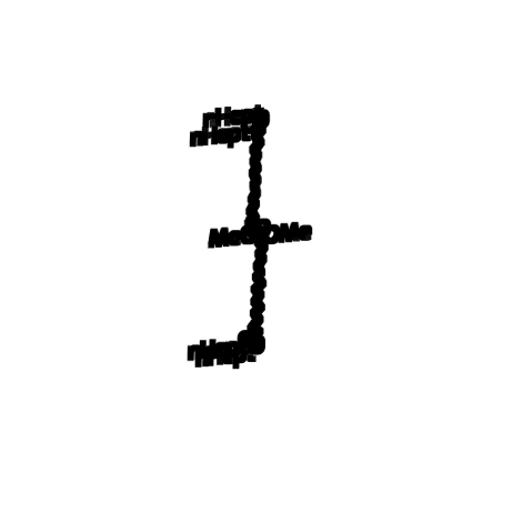 CCCCCCCOC(CCCCCCCCCCCCCCC=CC(OC)OC(C=CCCCCCCCCCCCCCCC(OCCCCCCC)OCCCCCCC)OC)OCCCCCCC